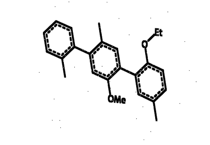 CCOc1ccc(C)cc1-c1cc(C)c(-c2ccccc2C)cc1OC